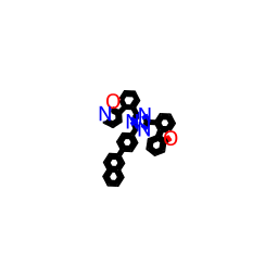 C1=CC2Oc3ncccc3C2C(c2nc(-c3ccc(-c4ccc5ccccc5c4)cc3)nc(-c3cccc4oc5ccccc5c34)n2)=C1